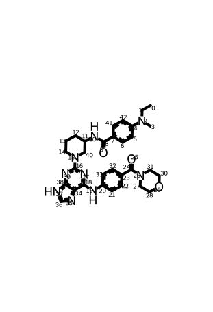 CCN(C)c1ccc(C(=O)NC2CCCN(c3nc(Nc4ccc(C(=O)N5CCOCC5)cc4)c4nc[nH]c4n3)C2)cc1